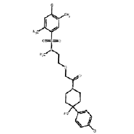 Cc1cc(S(=O)(=O)N(C)CCOCC(=O)N2CCC(O)(c3ccc(Cl)cc3)CC2)c(C)cc1Cl